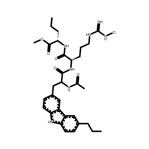 CCCc1ccc2[nH]c3ccc(CC(NC(C)=O)C(=O)N[C@H](CCCNC(=N)NCl)C(=O)N[C@@H](CCC)C(=O)OC)cc3c2c1